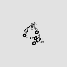 CCc1nn(CCCN2CCN(c3cccc(Cl)c3)CC2)c(=O)n1CCOc1ccccc1.O=C1Nc2ccc(Cl)cc2C(c2ccccc2)=NC1O